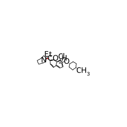 CCC(c1ccc2ccc(OC3CCC(C)CC3)c(Cl)c2c1)N1C2CCC1CC(C(=O)O)C2